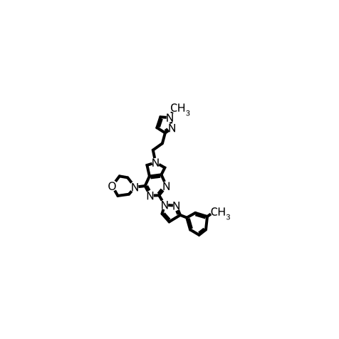 Cc1cccc(-c2ccn(-c3nc4c(c(N5CCOCC5)n3)CN(CCc3ccn(C)n3)C4)n2)c1